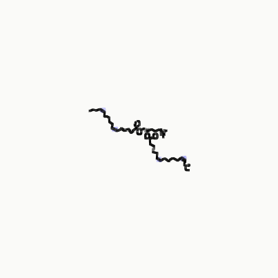 CCC/C=C\CCCC/C=C\CCCCC(=O)OC[C@H](CCCN(C)C)OC(=O)CCCC/C=C\CCCC/C=C\CCC